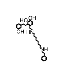 Oc1cccc(CCc2c(CCNCCCCCCCCNCCc3ccccc3)ccc(O)c2O)c1